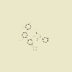 COc1ccc(-c2ccc(C(=O)O)cc2C)cc1-c1ccc(N2CCC2)nc1CN1C(=O)OC(c2cccc(C)c2)C1C